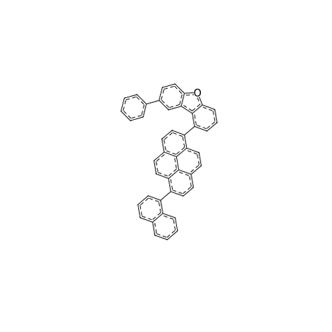 c1ccc(-c2ccc3oc4cccc(-c5ccc6ccc7c(-c8cccc9ccccc89)ccc8ccc5c6c87)c4c3c2)cc1